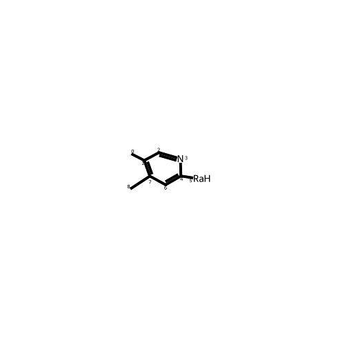 Cc1cn[c]([RaH])cc1C